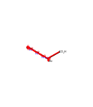 CC(C)(C)OC(=O)C(CCCCNC(=O)CCOCCOCCNC(=O)CCOCCOCCNC(=O)CCC(=O)ON1C(=O)CCC1=O)NC(=O)CCCCCCCCCCCCCCCCC(=O)O